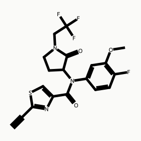 C#Cc1nc(C(=O)N(c2ccc(F)c(OC)c2)C2CCN(CC(F)(F)F)C2=O)cs1